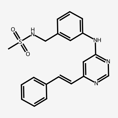 CS(=O)(=O)NCc1cccc(Nc2cc(C=Cc3ccccc3)ncn2)c1